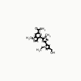 CCn1nc(CO)cc1-c1nc(-c2nc(C(N)=O)cc3c2cnn3C)n(C)n1